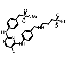 CCS(=O)(=O)CCCNCc1ccc(Nc2nc(Nc3ccc(CS(=O)(=O)NC)cc3)ncc2F)cc1